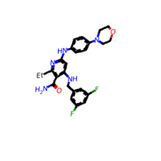 CCc1nc(Nc2ccc(N3CCOCC3)cc2)cc(NCc2cc(F)cc(F)c2)c1C(N)=O